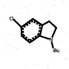 CCC(C)N1CCc2cc(Cl)ccc21